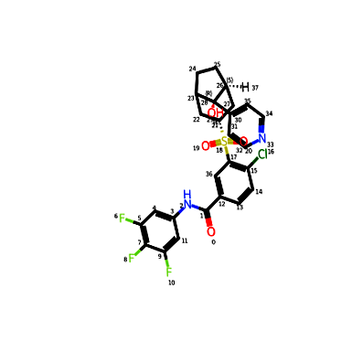 O=C(Nc1cc(F)c(F)c(F)c1)c1ccc(Cl)c(S(=O)(=O)[C@@H]2CC3CC[C@@H](C2)[C@@]3(O)c2ccncc2)c1